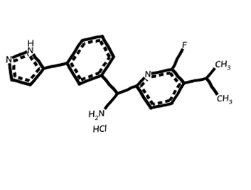 CC(C)c1ccc(C(N)c2cccc(-c3ccn[nH]3)c2)nc1F.Cl